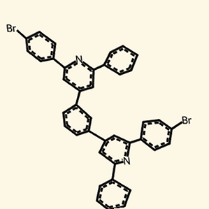 Brc1ccc(-c2cc(-c3cccc(-c4cc(-c5ccccc5)nc(-c5ccc(Br)cc5)c4)c3)cc(-c3ccccc3)n2)cc1